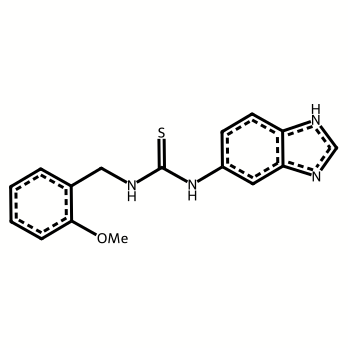 COc1ccccc1CNC(=S)Nc1ccc2[nH]cnc2c1